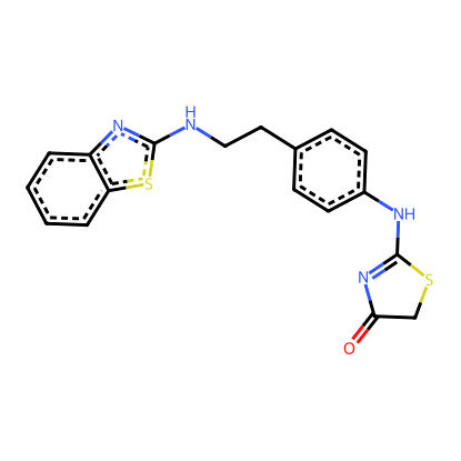 O=C1CSC(Nc2ccc(CCNc3nc4ccccc4s3)cc2)=N1